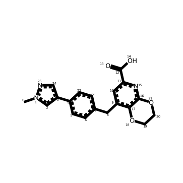 Cn1cc(-c2ccc(Cc3cc(C(=O)O)nc4c3OCCO4)cc2)cn1